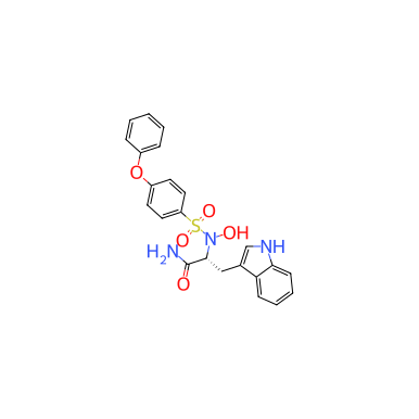 NC(=O)[C@@H](Cc1c[nH]c2ccccc12)N(O)S(=O)(=O)c1ccc(Oc2ccccc2)cc1